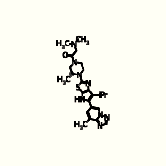 Cc1cc(-c2[nH]c3sc(N4CCN(C(=O)CN(C)C)C[C@H]4C)nc3c2C(C)C)cn2ncnc12